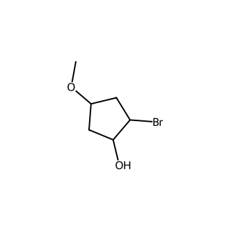 COC1CC(O)C(Br)C1